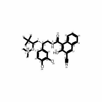 C[SiH](C)OC(C[C@H](CNC(=O)c1c(O)c(C#N)cc2ccccc12)c1ccc(Cl)c(Cl)c1)C(C)(C)C